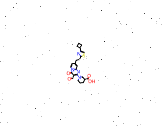 O=Cc1c(N2CCCC(C(=O)O)C2)nc2cc(CCc3nc(C4CCC4)cs3)ccn2c1=O